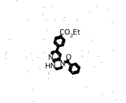 CCOC(=O)c1ccc(-c2cnc3c(c2)N(C(=O)c2ccccc2)CCN3)cc1